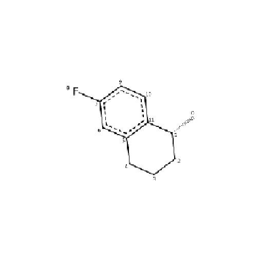 C[C@@H]1CCCc2cc(F)ccc21